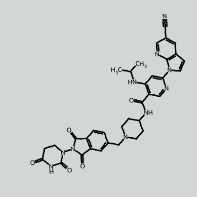 CC(C)Nc1cc(-n2ccc3cc(C#N)cnc32)ncc1C(=O)NC1CCN(Cc2ccc3c(c2)C(=O)N(N2CCC(=O)NC2=O)C3=O)CC1